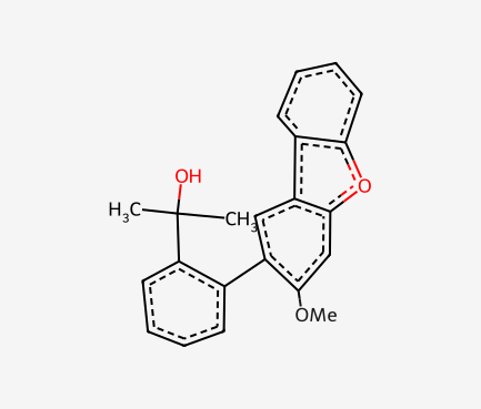 COc1cc2oc3ccccc3c2cc1-c1ccccc1C(C)(C)O